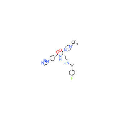 O=C(N[C@@H](CCCN[C@@H]1C[C@H]1c1ccc(F)cc1)C(=O)N1CCN(CC(F)(F)F)CC1)c1ccc(-n2ccnn2)cc1